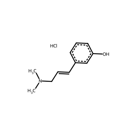 CN(C)CC=Cc1cccc(O)c1.Cl